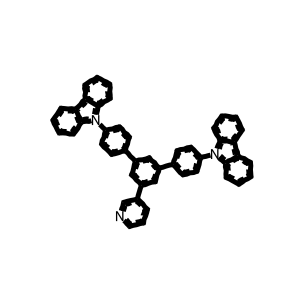 c1cncc(-c2cc(-c3ccc(-n4c5ccccc5c5ccccc54)cc3)cc(-c3ccc(-n4c5ccccc5c5ccccc54)cc3)c2)c1